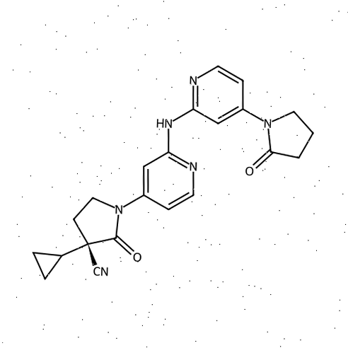 N#C[C@@]1(C2CC2)CCN(c2ccnc(Nc3cc(N4CCCC4=O)ccn3)c2)C1=O